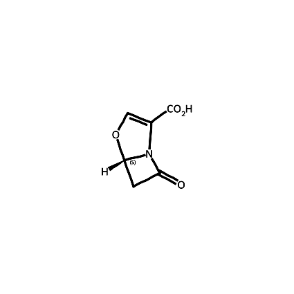 O=C(O)C1=CO[C@H]2CC(=O)N12